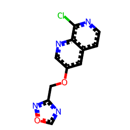 Clc1nccc2cc(OCc3ncon3)cnc12